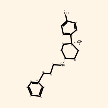 Oc1ccc([C@]2(O)CC[C@@H](NCCCc3ccccc3)CC2)cc1